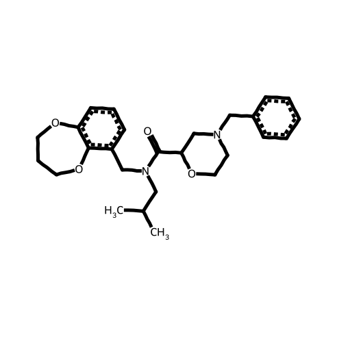 CC(C)CN(Cc1cccc2c1OCCCO2)C(=O)C1CN(Cc2ccccc2)CCO1